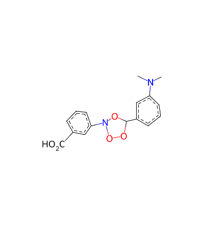 CN(C)c1cccc(C2OON(c3cccc(C(=O)O)c3)O2)c1